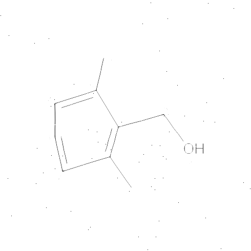 Cc1cccc(C)c1[CH]O